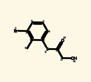 Cc1c(Br)cccc1SC(=O)CO